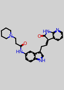 O=C(CCN1CCCCC1)Nc1ccc2[nH]cc(CC=C3C(=O)Nc4ncccc43)c2c1